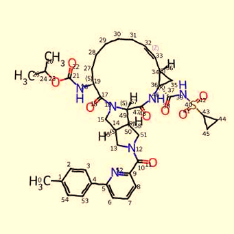 Cc1ccc(-c2cccc(C(=O)N3C[C@H]4CN5C(=O)[C@@H](NC(=O)OC(C)C)CCCCC/C=C\[C@@H]6C[C@@]6(C(=O)NS(=O)(=O)C6CC6)NC(=O)[C@@H]5[C@H]4C3)n2)cc1